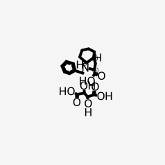 O=C(O)C(O)C(O)C(=O)O.O=C(O)[C@@H]1C[C@H]2CCCC[C@@H]2N1Cc1ccccc1